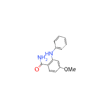 COc1ccc(C(N)=O)c(Nc2ccccc2)c1